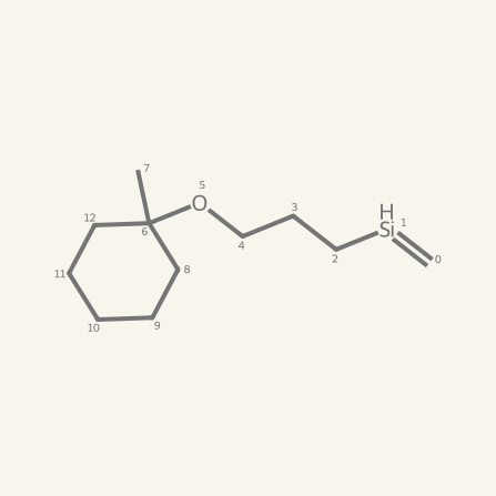 C=[SiH]CCCOC1(C)CCCCC1